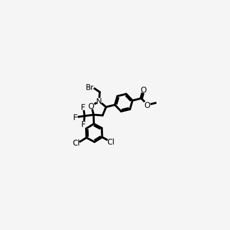 COC(=O)c1ccc(C2CC(c3cc(Cl)cc(Cl)c3)(C(F)(F)F)ON2CBr)cc1